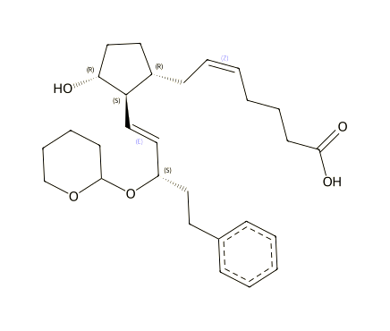 O=C(O)CCC/C=C\C[C@H]1CC[C@@H](O)[C@@H]1/C=C/[C@H](CCc1ccccc1)OC1CCCCO1